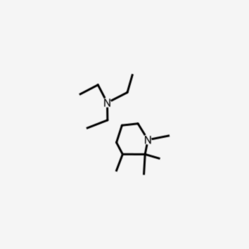 CC1CCCN(C)C1(C)C.CCN(CC)CC